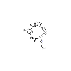 CC(C)=C1NC(=O)c2cc(F)cc(n2)CNC(=O)C[C@@H](/C=C/CCS)OC(=O)[C@H](C(C)C)NC1=O